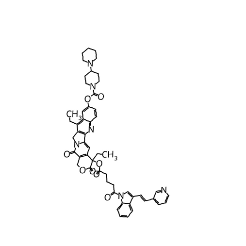 CCc1c2c(nc3ccc(OC(=O)N4CCC(N5CCCCC5)CC4)cc13)-c1cc3c(c(=O)n1C2)COC(=O)C3(CC)OC(=O)CCCC(=O)n1cc(/C=C/c2cccnc2)c2ccccc21